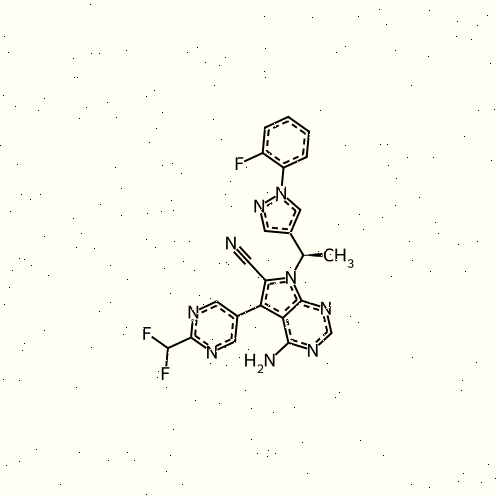 C[C@H](c1cnn(-c2ccccc2F)c1)n1c(C#N)c(-c2cnc(C(F)F)nc2)c2c(N)ncnc21